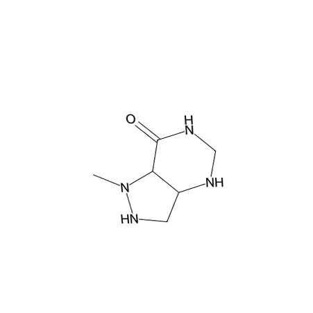 CN1NCC2NCNC(=O)C21